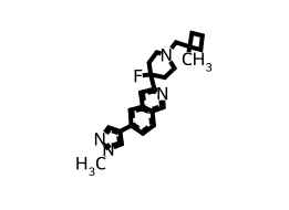 Cn1cc(-c2ccc3cnc(C4(F)CCN(CC5(C)CCC5)CC4)cc3c2)cn1